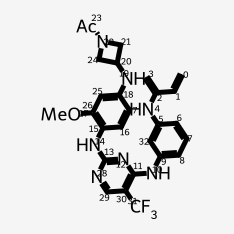 C=CC(=C)Nc1cccc(Nc2nc(Nc3ccc(NC4CN(C(C)=O)C4)cc3OC)ncc2C(F)(F)F)c1